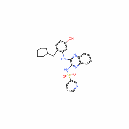 O=S(=O)(Nc1nc2ccccc2nc1Nc1cc(O)ccc1CC1CCCCC1)c1cccnc1